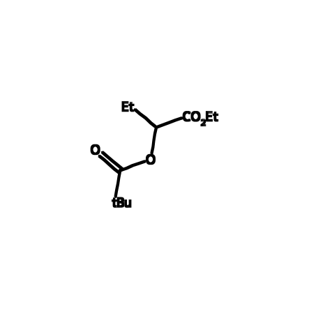 CCOC(=O)C(CC)OC(=O)C(C)(C)C